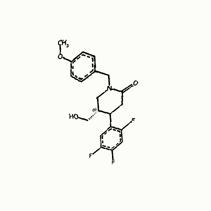 COc1ccc(CN2C[C@@H](CO)C(c3cc(F)c(F)cc3F)CC2=O)cc1